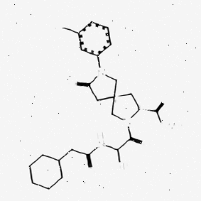 COC(=O)[C@@H]1C[C@]2(CC(=O)N(c3cccc(Cl)c3)C2)CN1C(=O)C(NC(=O)CC1CCCCC1)C(C)(C)C